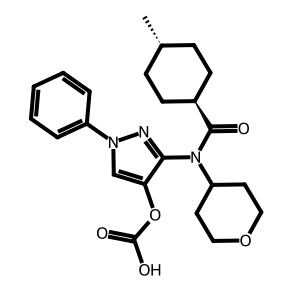 C[C@H]1CC[C@H](C(=O)N(c2nn(-c3ccccc3)cc2OC(=O)O)C2CCOCC2)CC1